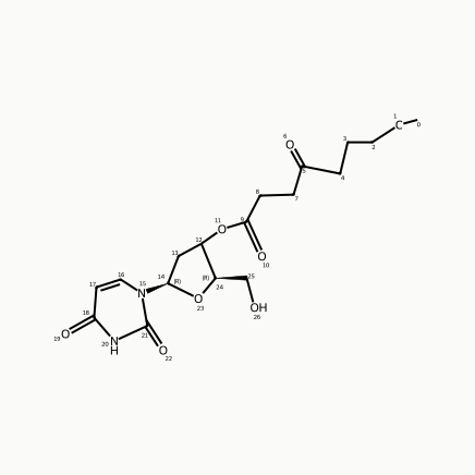 CCCCCC(=O)CCC(=O)OC1C[C@H](n2ccc(=O)[nH]c2=O)O[C@@H]1CO